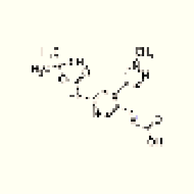 Cn1cc(-c2cc(NC(=O)OC(C)(C)C)ncc2/C=C/C(=O)O)cn1